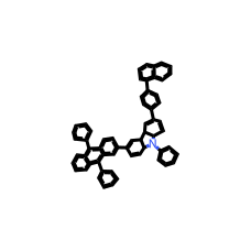 C1=CC2C(C=C1c1ccc(-c3cccc4ccccc34)cc1)C1C=C(c3ccc4c(-c5ccccc5)c5ccccc5c(-c5ccccc5)c4c3)C=CC1N2c1ccccc1